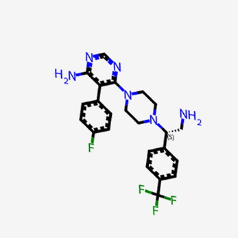 NC[C@H](c1ccc(C(F)(F)F)cc1)N1CCN(c2ncnc(N)c2-c2ccc(F)cc2)CC1